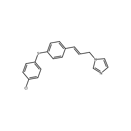 Clc1ccc(Sc2ccc(C=CCn3ccnc3)cc2)cc1